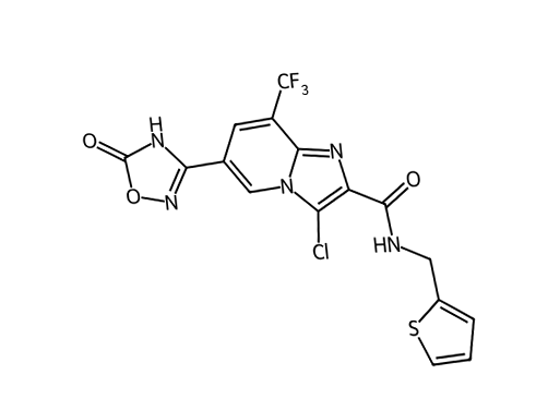 O=C(NCc1cccs1)c1nc2c(C(F)(F)F)cc(-c3noc(=O)[nH]3)cn2c1Cl